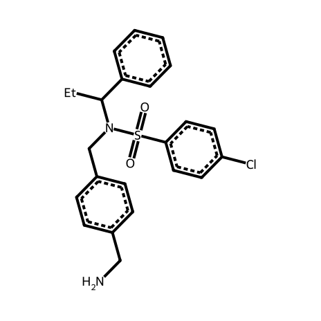 CCC(c1ccccc1)N(Cc1ccc(CN)cc1)S(=O)(=O)c1ccc(Cl)cc1